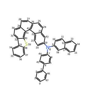 c1ccc(-c2ccc(N(c3ccc4ccccc4c3)c3ccc4c(ccc5ccc6ccc7c8ccccc8sc7c6c54)c3)cc2)cc1